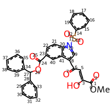 COC(=O)C(O)=CC(=O)c1cn(S(=O)(=O)c2ccccc2)c2ccc(C(=O)OC(c3ccccc3)c3ccccc3)cc12